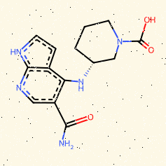 NC(=O)c1cnc2[nH]ccc2c1N[C@@H]1CCCN(C(=O)O)C1